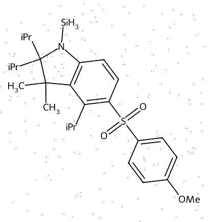 COc1ccc(S(=O)(=O)c2ccc3c(c2C(C)C)C(C)(C)C(C(C)C)(C(C)C)N3[SiH3])cc1